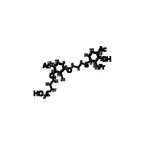 CCCc1c(SCCCOc2ccc(C(C)=O)c(OCCCC(=O)O)c2C)ccc(C(C)=O)c1O